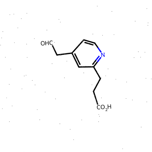 O=CCc1ccnc(CCC(=O)O)c1